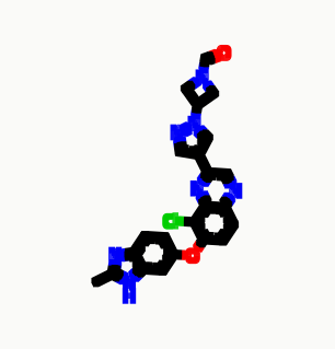 Cc1nc2ccc(Oc3ccc4ncc(-c5cnn(C6CN(C=O)C6)c5)nc4c3Cl)cc2[nH]1